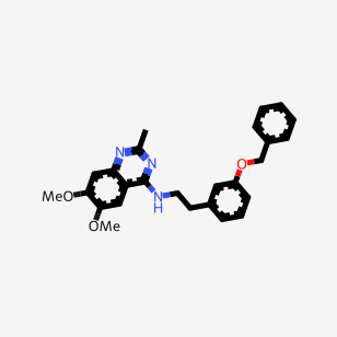 COc1cc2nc(C)nc(NCCc3cccc(OCc4ccccc4)c3)c2cc1OC